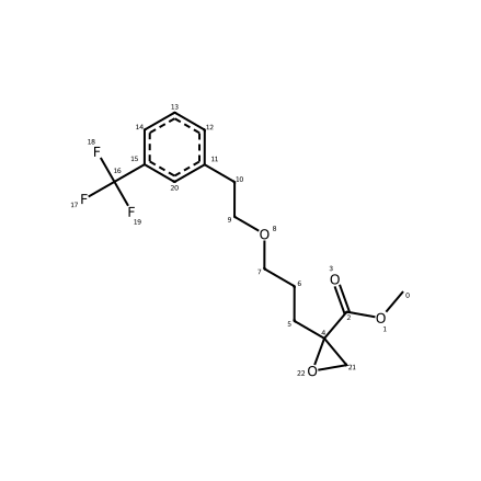 COC(=O)C1(CCCOCCc2cccc(C(F)(F)F)c2)CO1